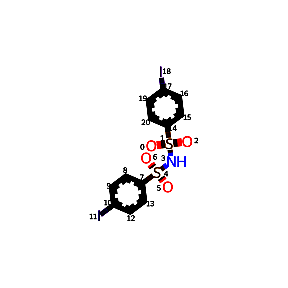 O=S(=O)(NS(=O)(=O)c1ccc(I)cc1)c1ccc(I)cc1